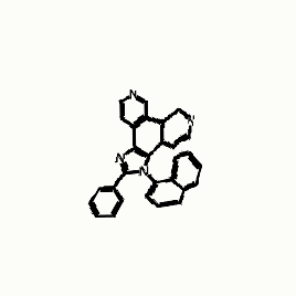 C1=CC2c3c(nc(-c4ccccc4)n3-c3cccc4ccccc34)-c3ccncc3C2C=N1